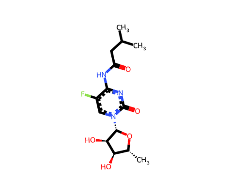 CC(C)CC(=O)Nc1nc(=O)n([C@@H]2O[C@H](C)[C@@H](O)[C@H]2O)cc1F